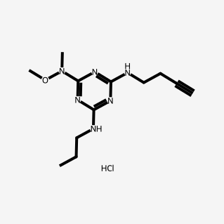 C#CCCNc1nc(NCCC)nc(N(C)OC)n1.Cl